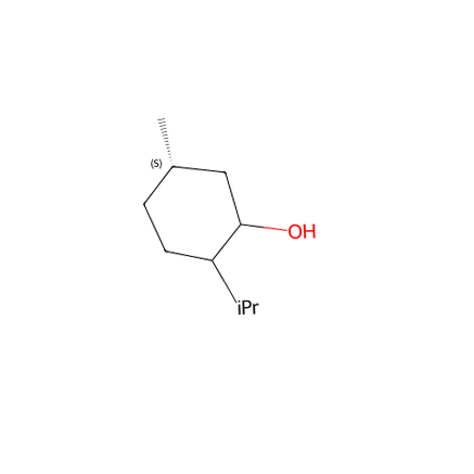 CC(C)C1CC[C@H](C)CC1O